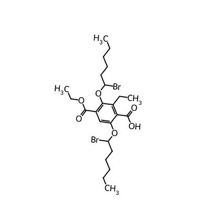 CCCCCC(Br)Oc1cc(C(=O)OCC)c(OC(Br)CCCCC)c(CC)c1C(=O)O